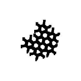 Fc1c(F)c(F)c(-c2c(F)c(-c3c(F)c(F)c(F)c(F)c3F)c(-c3c(F)c(F)c(F)c(F)c3F)c(-c3c(F)c(F)c(F)c(F)c3F)c2-c2c(F)c(F)c(F)c(F)c2F)c(F)c1F